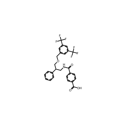 O=C(O)c1ccc(C(=O)NCC(COCc2cc(C(F)(F)F)cc(C(F)(F)F)c2)c2ccccc2)cc1